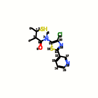 CC(S)C(C)C(=O)N(C)c1sc(-c2cccnc2)nc1Cl